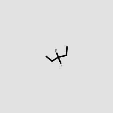 CCC(F)(F)CC